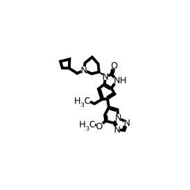 CCc1cc2c(cc1-c1cc(OC)c3ncnn3c1)[nH]c(=O)n2[C@@H]1CCCN(CC2CCC2)C1